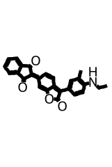 CCNc1ccc(C2=c3ccc(=C4C(=O)c5ccccc5C4=O)cc3OC2=O)cc1C